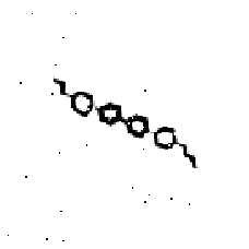 CCCC[C@H]1CC[C@H](c2ccc(-c3ccc([C@H]4CC[C@H](CCC)CC4)cc3)cc2)CC1